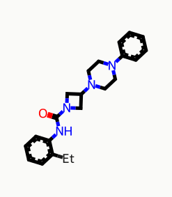 CCc1ccccc1NC(=O)N1CC(N2CCN(c3ccccc3)CC2)C1